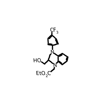 CCOC(=O)CN1c2ccccc2N(c2ccc(C(F)(F)F)cc2)CC1CO